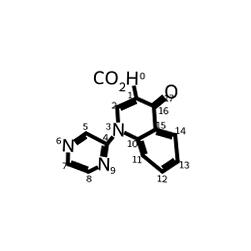 O=C(O)c1cn(-c2cnccn2)c2ccccc2c1=O